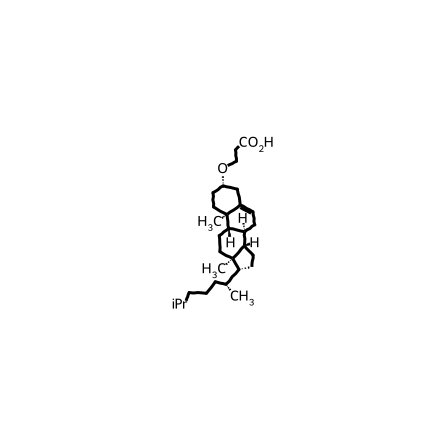 CC(C)CCC[C@@H](C)[C@H]1CC[C@H]2[C@@H]3CC=C4C[C@@H](OCCC(=O)O)CC[C@]4(C)[C@H]3CC[C@]12C